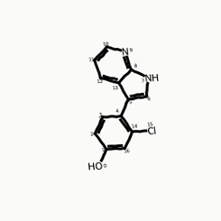 Oc1c[c]c(-c2c[nH]c3ncccc23)c(Cl)c1